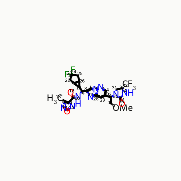 COCC(c1cnn2cc(C(NC(=O)c3nonc3C)C3C4CC(F)(F)CC43)nc2c1)N1CC(C(F)(F)F)NC1=O